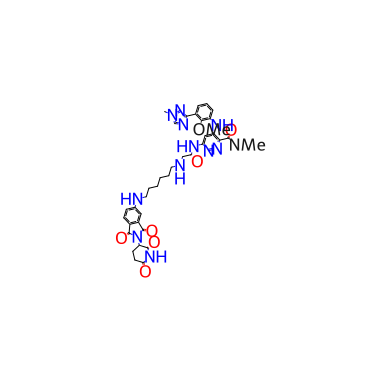 CNC(=O)c1nnc(NC(=O)CNCCCCCCNc2ccc3c(c2)C(=O)N(C2CCC(=O)NC2=O)C3=O)cc1Nc1cccc(-c2ncn(C)n2)c1OC